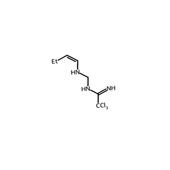 CC/C=C\NCNC(=N)C(Cl)(Cl)Cl